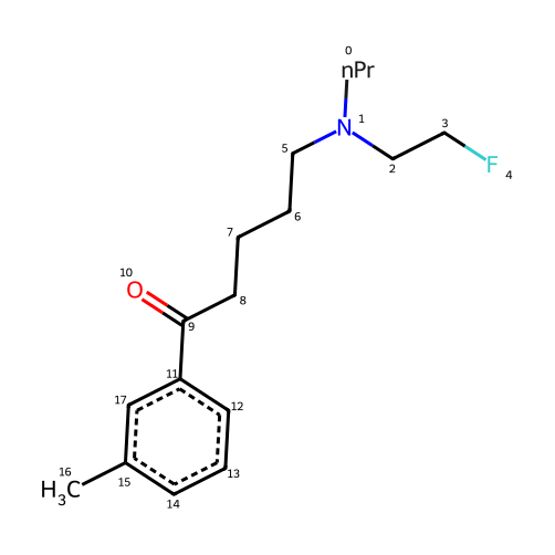 CCCN(CCF)CCCCC(=O)c1cccc(C)c1